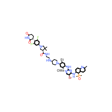 CCc1cc(Nc2ncc(Br)c(Nc3ccc4nc(C)ccc4c3P(C)(C)=O)n2)c(OC)cc1N1CCC(NCCNC(=O)[C@H]2CN(c3cc(F)c([C@H]4CCC(=O)NC4=O)c(F)c3)CC2(C)C)CC1